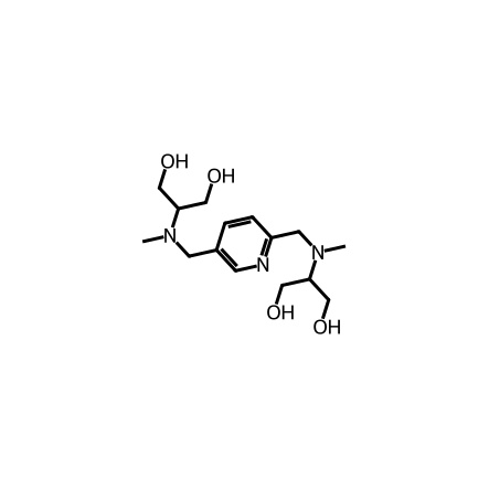 CN(Cc1ccc(CN(C)C(CO)CO)nc1)C(CO)CO